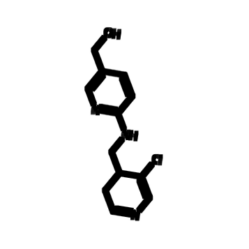 OCc1ccc(NCC2CC=NC=C2Cl)nc1